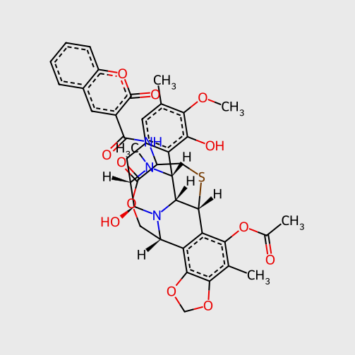 COc1c(C)cc2c(c1O)[C@@H]1[C@@H]3[C@@H]4SCC(NC(=O)c5cc6ccccc6oc5=O)C(=O)OC[C@@H](c5c6c(c(C)c(OC(C)=O)c54)OCO6)N3[C@@H](O)[C@H](C2)N1C